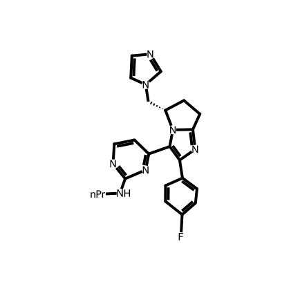 CCCNc1nccc(-c2c(-c3ccc(F)cc3)nc3n2[C@H](Cn2ccnc2)CC3)n1